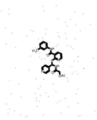 CC(=O)OCC(=O)NC(Sc1ncccc1C(=O)Nc1cccc(C)c1)c1ccncc1